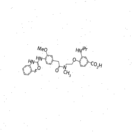 COc1cc(CC(=O)N(C)CCOc2ccc(C(=O)O)cc2NC(C)C)ccc1NC(=O)Nc1ccccc1F